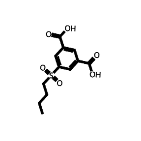 CCCCS(=O)(=O)c1cc(C(=O)O)cc(C(=O)O)c1